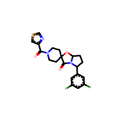 O=C(c1cscn1)N1CCC2(CC1)OC1CCC(c3cc(F)cc(F)c3)N1C2=O